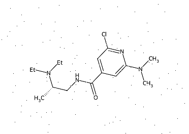 CCN(CC)[C@@H](C)CNC(=O)c1cc(Cl)nc(N(C)C)c1